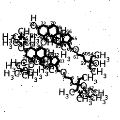 CCC(CC)(CCCOCC1=CC[C@H]2C3=CC=C4C[C@@H](O[Si](C)(C)C(C)(C)C)C[C@H](O[Si](C)(C)C(C)(C)C)[C@]4(C)[C@H]3CC[C@]12C)O[Si](CC)(CC)CC.CCC(O)(CC)CCCOCC1=CC[C@H]2C3=CC=C4C[C@@H](O)C[C@H](O)[C@]4(C)[C@H]3CC[C@]12C